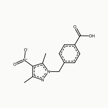 Cc1nn(Cc2ccc(C(=O)O)cc2)c(C)c1[N+](=O)[O-]